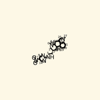 CN1C[C@H](CCNc2ncc([N+](=O)[O-])cn2)C[C@@H]2c3cccc4c3c(cn4C)C[C@H]21